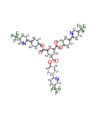 O=C(OC1=CCC(c2ccc(C(F)(F)F)cn2)C=C1)c1cc(C(=O)Oc2ccc(-c3ccc(C(F)(F)F)cn3)cc2)cc(C(=O)Oc2ccc(-c3ccc(C(F)(F)F)cn3)cc2)c1